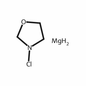 ClN1CCOC1.[MgH2]